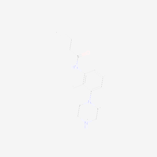 CCOC(=O)CCC(=O)Nc1cccc(N2CCNCC2)c1C